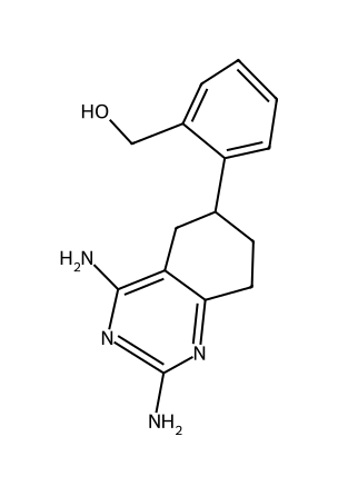 Nc1nc(N)c2c(n1)CCC(c1ccccc1CO)C2